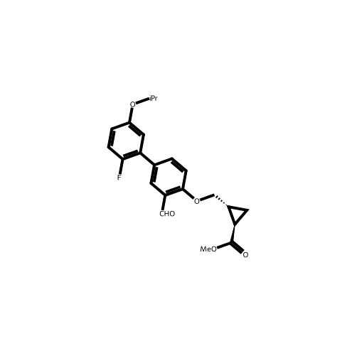 COC(=O)[C@@H]1C[C@H]1COc1ccc(-c2cc(OC(C)C)ccc2F)cc1C=O